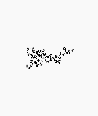 CC(C)OC(=O)CCC(=O)N=C(N)N1CCC(CN([C@H](Cc2ccccc2)C(=O)N2CCC[C@H]2C(N)=O)S(C)(=O)=O)CC1